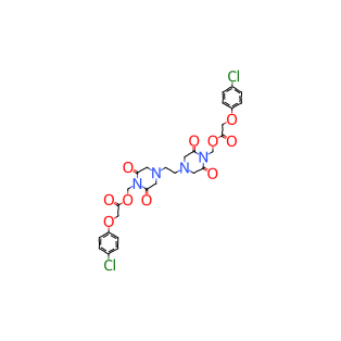 O=C(COc1ccc(Cl)cc1)OCN1C(=O)CN(CCN2CC(=O)N(COC(=O)COc3ccc(Cl)cc3)C(=O)C2)CC1=O